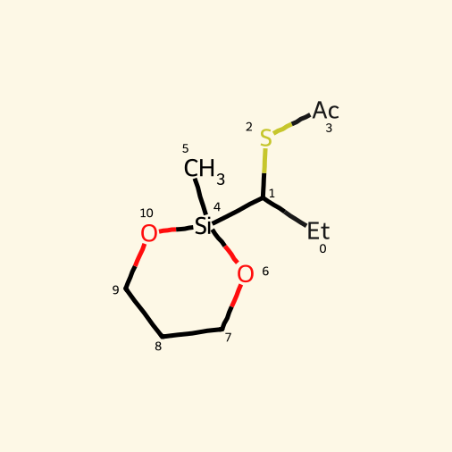 CCC(SC(C)=O)[Si]1(C)OCCCO1